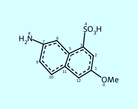 COc1cc(S(=O)(=O)O)c2cc(N)ccc2c1